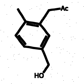 CC(=O)Cc1cc(CO)ccc1C